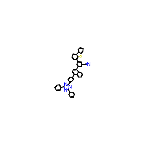 N#Cc1cc(-c2ccc(-c3ccc(-c4nc(-c5ccccc5)nc(-c5ccccc5)n4)cc3)c3ccccc23)cc(-c2cccc3c2sc2ccccc23)c1